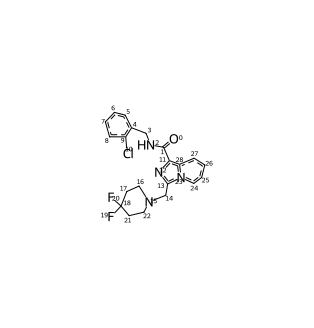 O=C(NCc1ccccc1Cl)c1nc(CN2CCC(F)(F)CC2)n2ccccc12